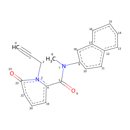 C#CCn1c(C(=O)N(C)c2ccc3ccccc3c2)cccc1=O